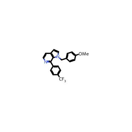 COc1ccc(Cn2ccc3ccnc(-c4ccc(C(F)(F)F)cc4)c32)cc1